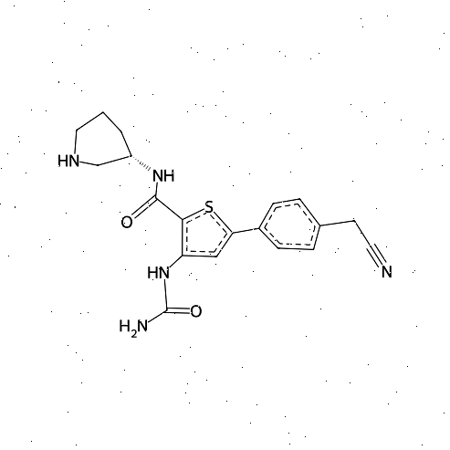 N#CCc1ccc(-c2cc(NC(N)=O)c(C(=O)N[C@H]3CCCNC3)s2)cc1